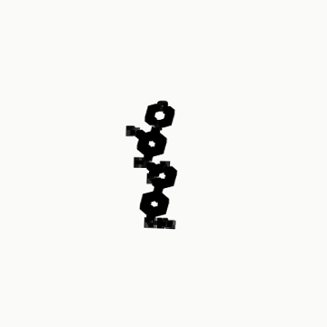 CC(=O)Nc1ccc(-c2ccnc(Nc3ccc(N4CCOCC4)c(Br)c3)n2)cc1